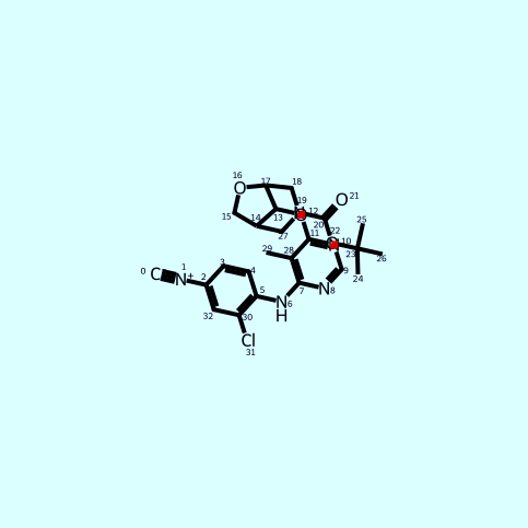 [C-]#[N+]c1ccc(Nc2ncnc(OC3C4COC3CN(C(=O)OC(C)(C)C)C4)c2C)c(Cl)c1